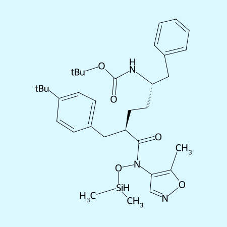 Cc1oncc1N(O[SiH](C)C)C(=O)[C@H](CC[C@@H](Cc1ccccc1)NC(=O)OC(C)(C)C)Cc1ccc(C(C)(C)C)cc1